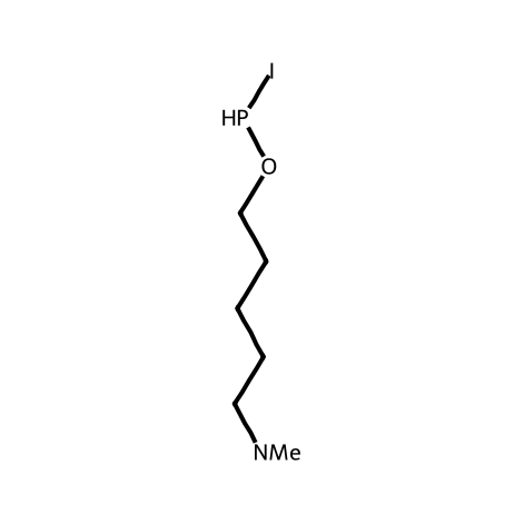 CNCCCCCOPI